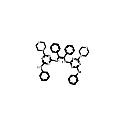 c1ccc(Nc2nc(NC(=C(Nc3nc(Nc4ccccc4)nc(N4CCOCC4)n3)c3ccccc3)c3ccccc3)nc(N3CCOCC3)n2)cc1